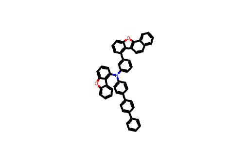 c1ccc(-c2ccc(-c3ccc(N(c4cccc(-c5cccc6oc7c8ccccc8ccc7c56)c4)c4cccc5oc6ccccc6c45)cc3)cc2)cc1